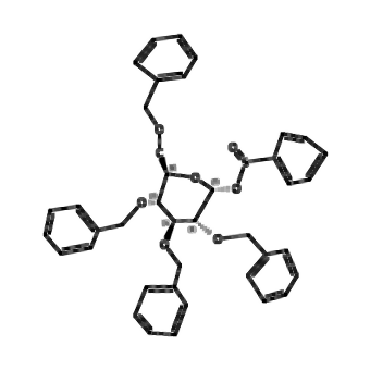 O=S(O[C@H]1O[C@H](COCc2ccccc2)[C@@H](OCc2ccccc2)[C@H](OCc2ccccc2)[C@H]1OCc1ccccc1)c1ccccc1